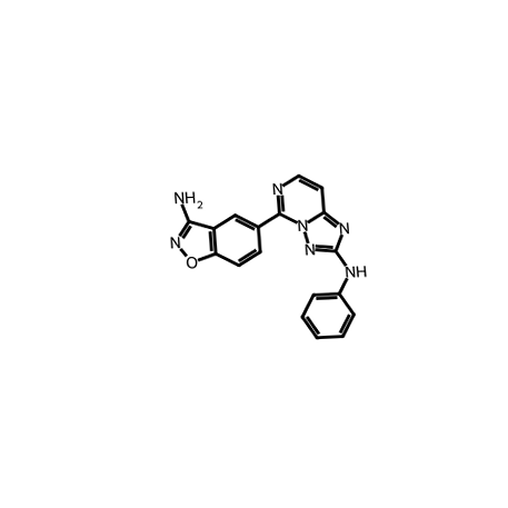 Nc1noc2ccc(-c3nccc4nc(Nc5ccccc5)nn34)cc12